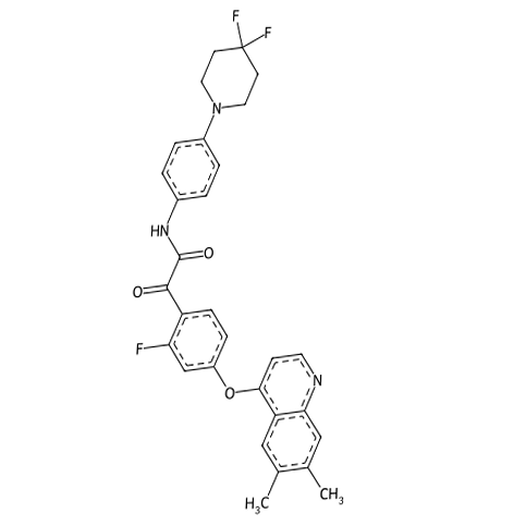 Cc1cc2nccc(Oc3ccc(C(=O)C(=O)Nc4ccc(N5CCC(F)(F)CC5)cc4)c(F)c3)c2cc1C